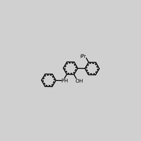 CC(C)c1ccccc1-c1cccc(Pc2ccccc2)c1O